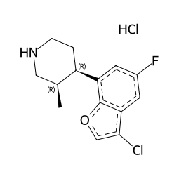 C[C@H]1CNCC[C@H]1c1cc(F)cc2c(Cl)coc12.Cl